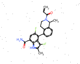 C=CC(=O)N1CCc2c(-c3c(F)cc(C(N)=O)c4[nH]c(C)c(F)c34)cccc2C1C